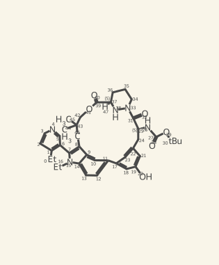 CCc1ccncc1-c1c2c3cc(ccc3n1CC)-c1cc(O)cc(c1)C[C@H](NC(=O)OC(C)(C)C)C(=O)N1CCC[C@H](N1)C(=O)OCC(C)(C)C2